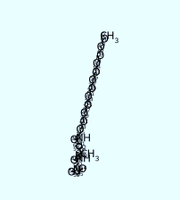 COCCOCCOCCOCCOCCOCCOCCOCCOCCOCCOCCOCCNC(=O)c1ccc(/C(C)=N/NC(=O)CCN2C(=O)C=CC2=O)cc1